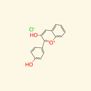 Oc1ccc(-c2[o+]c3ccccc3cc2O)cc1.[Cl-]